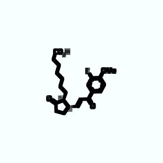 COc1ccc(C(=O)C=C[C@@H]2CCC(=O)[C@H]2CCCCCCC(=O)O)cc1F